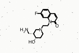 NC[C@@H]1CN(CCn2c(=O)ccc3ccc(F)cc32)CC[C@@H]1O